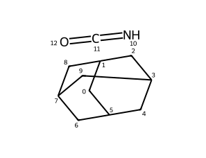 C1C2CC3CC1CC(C2)C3.N=C=O